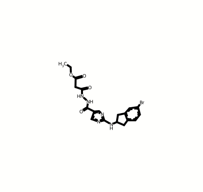 CCOC(=O)CC(=O)NNC(=O)c1cnc(NC2Cc3ccc(Br)cc3C2)nc1